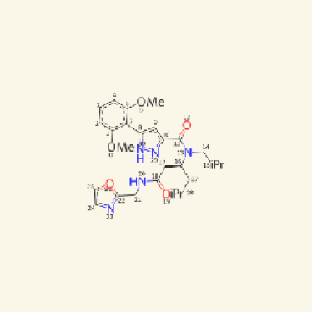 COc1cccc(OC)c1-c1cc(C(=O)N(CC(C)C)[C@H](CC(=O)NCc2ncco2)CC(C)C)n[nH]1